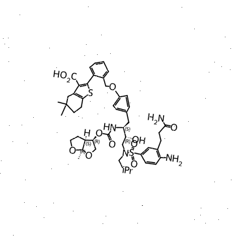 CC(C)CN(C[C@@H](O)[C@H](Cc1ccc(OCc2ccccc2-c2sc3c(c2C(=O)O)CC(C)(C)CC3)cc1)NC(=O)O[C@H]1CO[C@@]2(C)OCC[C@@H]12)S(=O)(=O)c1ccc(N)c(CCC(N)=O)c1